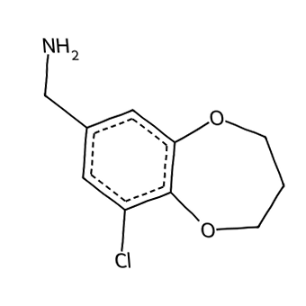 NCc1cc(Cl)c2c(c1)OCCCO2